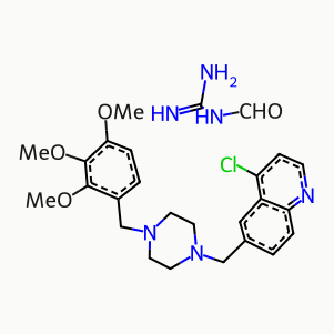 COc1ccc(CN2CCN(Cc3ccc4nccc(Cl)c4c3)CC2)c(OC)c1OC.N=C(N)NC=O